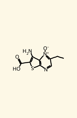 CCc1cnc2sc(C(=O)O)c(N)c2[n+]1[O-]